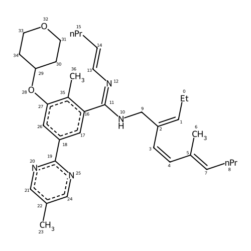 CC/C=C(/C=C\C(C)=C\CCC)CN/C(=N/C=C/CCC)c1cc(-c2ncc(C)cn2)cc(OC2CCOCC2)c1C